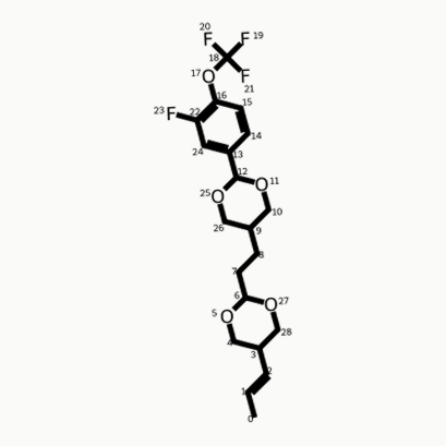 CC=CC1COC(CCC2COC(c3ccc(OC(F)(F)F)c(F)c3)OC2)OC1